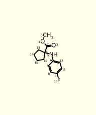 COC(=O)C1(Nc2ccc(F)cc2)CCCC1